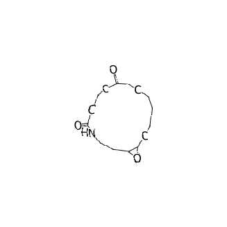 O=C1CCCCCCC2OC2CCNC(=O)CCC1